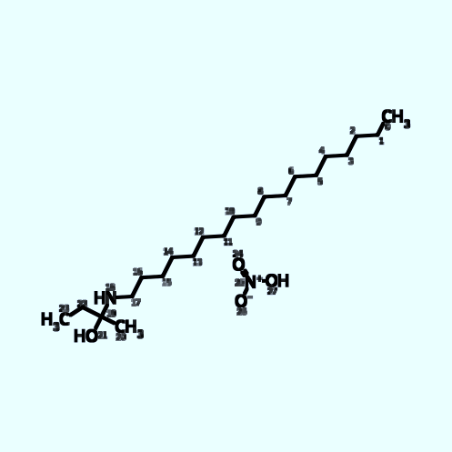 CCCCCCCCCCCCCCCCCCNC(C)(O)CC.O=[N+]([O-])O